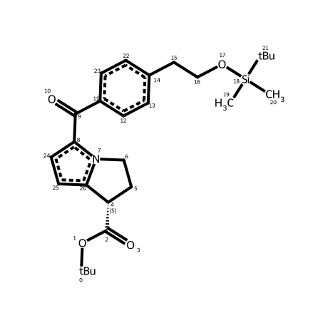 CC(C)(C)OC(=O)[C@H]1CCn2c(C(=O)c3ccc(CCO[Si](C)(C)C(C)(C)C)cc3)ccc21